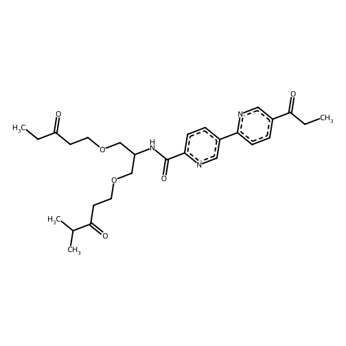 CCC(=O)CCOCC(COCCC(=O)C(C)C)NC(=O)c1ccc(-c2ccc(C(=O)CC)cn2)cn1